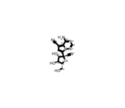 N#Cc1cc([C@]2(C#N)O[C@H](CO)[C@@H](O)[C@H]2O)n2ncnc(N)c12